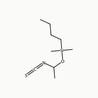 CCCC[Si](C)(C)OC(C)N=C=S